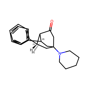 O=C1CC2(N3CCCCC3)C[C@H](c3ccccc3)C1[C@H](c1ccccc1)C2